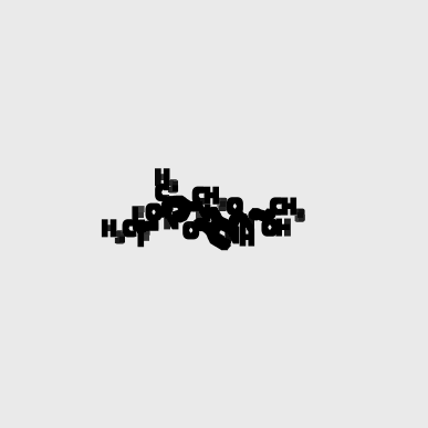 Cc1cc(C(C)N2Cc3c(ccnc3C(=O)NCC(C)O)C2=O)cnc1OCC(C)(F)F